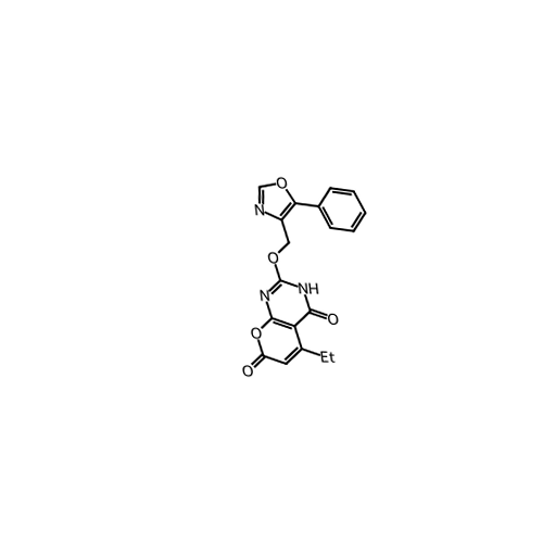 CCc1cc(=O)oc2nc(OCc3ncoc3-c3ccccc3)[nH]c(=O)c12